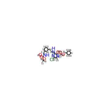 COC[C@@H](NC(=O)OC(C)(C)C)c1cccc(CCNc2nc(Cl)c(C)n(CC(=O)OCc3ccccc3)c2=O)c1